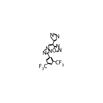 FC(F)(F)c1cc(-c2ncn(C=C(c3cncnc3)c3nnco3)n2)cc(C(F)(F)F)c1